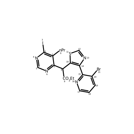 CCCc1c(I)ncnc1C(C(=O)OCC)c1scnc1-c1ncccc1Br